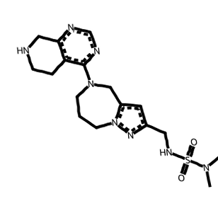 CN(C)S(=O)(=O)NCc1cc2n(n1)CCCN(c1ncnc3c1CCNC3)C2